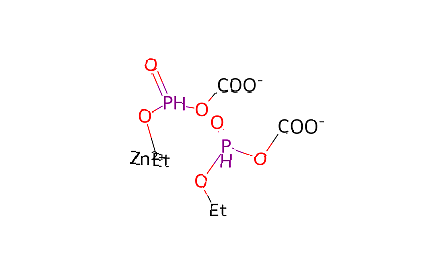 CCO[PH](=O)OC(=O)[O-].CCO[PH](=O)OC(=O)[O-].[Zn+2]